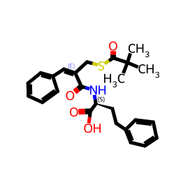 CC(C)(C)C(=O)SC/C(=C/c1ccccc1)C(=O)N[C@@H](CCc1ccccc1)C(=O)O